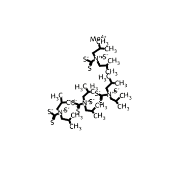 CC(C)C[N+]([S-])(CC(C)C)C(=S)[S-].CC(C)C[N+]([S-])(CC(C)C)C(=S)[S-].CC(C)C[N+]([S-])(CC(C)C)C(=S)[S-].CC(C)C[N+]([S-])(CC(C)C)C(=S)[S-].[Mo+4]